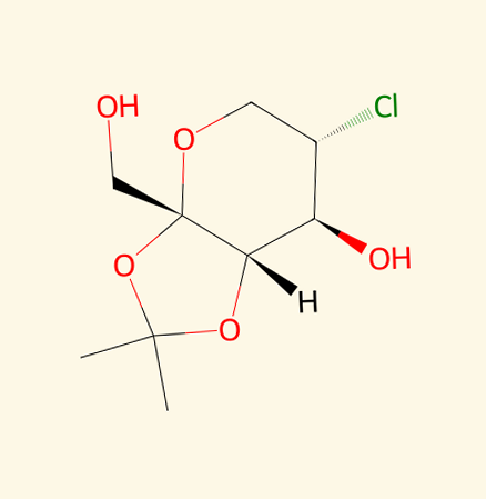 CC1(C)O[C@H]2[C@H](O)[C@@H](Cl)CO[C@@]2(CO)O1